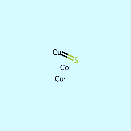 [Co].[Cu].[S]=[Cu]